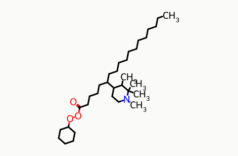 CCCCCCCCCCCCC(CCCCC(=O)OOC1CCCCC1)C1CCN(C)C(C)(C)C1C